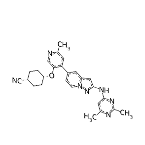 Cc1cc(-c2ccn3nc(Nc4cc(C)nc(C)n4)cc3c2)c(O[C@H]2CC[C@@H](C#N)CC2)cn1